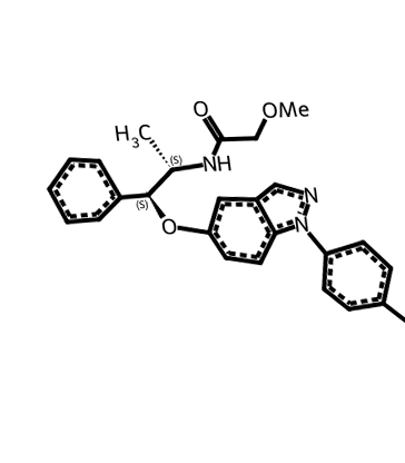 COCC(=O)N[C@@H](C)[C@@H](Oc1ccc2c(cnn2-c2ccc(F)cc2)c1)c1ccccc1